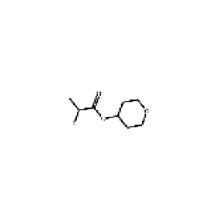 CC(F)C(=O)OC1CCOCC1